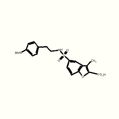 CNc1ccc(CCNS(=O)(=O)c2ccc3oc(C(=O)O)c(C)c3c2)cc1